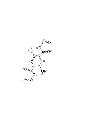 CCCCCCOC(=O)c1cc(O)c(C(=O)OCCCCCC)cc1O